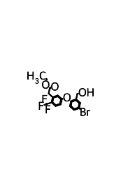 CCOC(=O)Cc1cc(Oc2ccc(Br)cc2CO)ccc1C(F)(F)F